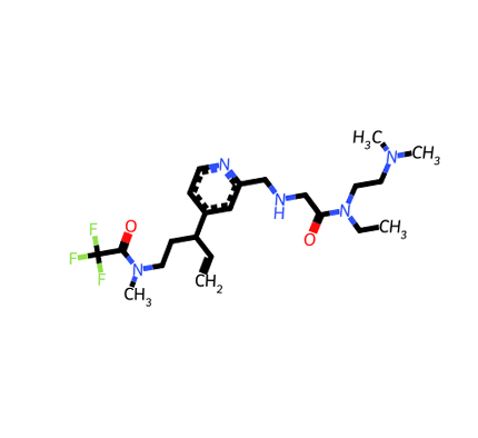 C=CC(CCN(C)C(=O)C(F)(F)F)c1ccnc(CNCC(=O)N(CC)CCN(C)C)c1